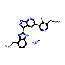 CN.CNCc1cncc(-c2cnc3[nH]nc(-c4nc5c(COC)cccc5[nH]4)c3c2)c1C